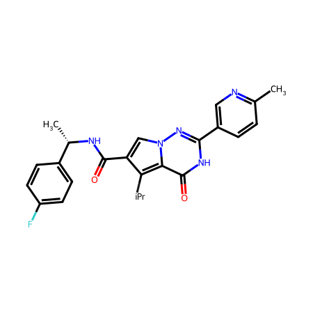 Cc1ccc(-c2nn3cc(C(=O)N[C@@H](C)c4ccc(F)cc4)c(C(C)C)c3c(=O)[nH]2)cn1